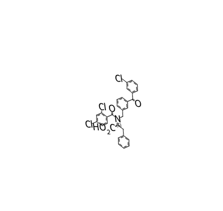 O=C(c1cccc(Cl)c1)c1cccc(CN(C(=O)c2ccc(Cl)cc2Cl)[C@@H](Cc2ccccc2)C(=O)O)c1